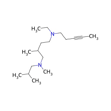 CC#CCCN(CC)CCC(C)CN(C)CC(C)C